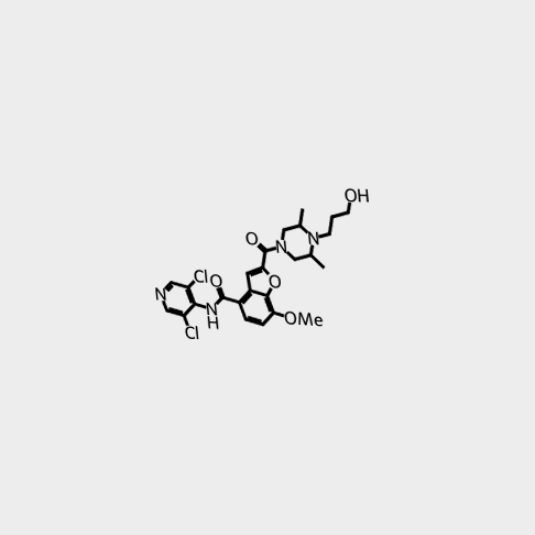 COc1ccc(C(=O)Nc2c(Cl)cncc2Cl)c2cc(C(=O)N3CC(C)N(CCCO)C(C)C3)oc12